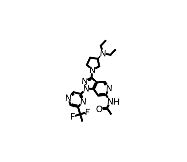 CCN(CC)[C@@H]1CCN(c2nn(-c3cncc(C(C)(F)F)n3)c3cc(NC(C)=O)ncc23)C1